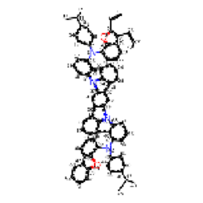 C=Cc1oc2c(N(c3ccc(C(C)C)cc3)c3cccc4c3c3cccc5c6cc7c(cc6n4c53)c3cccc4c5c(N(c6ccc(C(C)C)cc6)c6cccc8c6oc6ccccc68)cccc5n7c34)cccc2c1/C=C\C